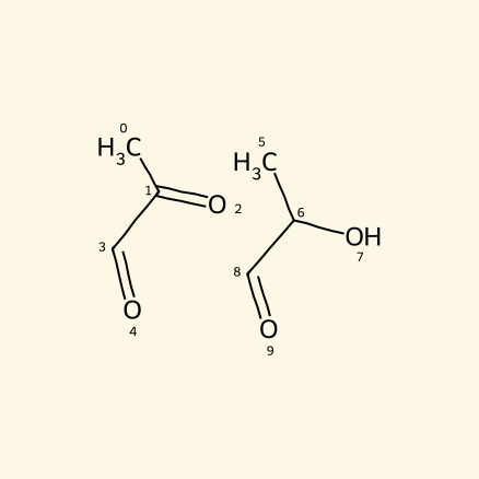 CC(=O)C=O.CC(O)C=O